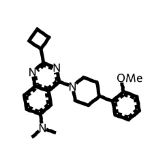 COc1ccccc1C1CCN(c2nc(C3CCC3)nc3ccc(N(C)C)cc23)CC1